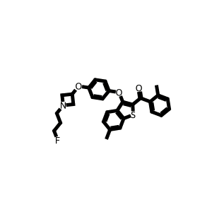 Cc1ccc2c(Oc3ccc(OC4CN(CCCF)C4)cc3)c(C(=O)c3ccccc3C)sc2c1